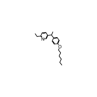 CCCCCCOc1ccc(C(C)c2ccc(CC)nc2)cc1